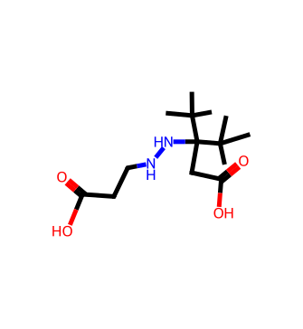 CC(C)(C)C(CC(=O)O)(NNCCC(=O)O)C(C)(C)C